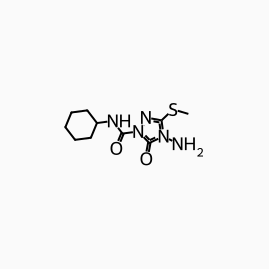 CSc1nn(C(=O)NC2CCCCC2)c(=O)n1N